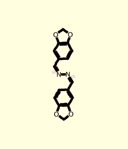 C(=N/N=C\c1ccc2c(c1)OCO2)/c1ccc2c(c1)OCO2